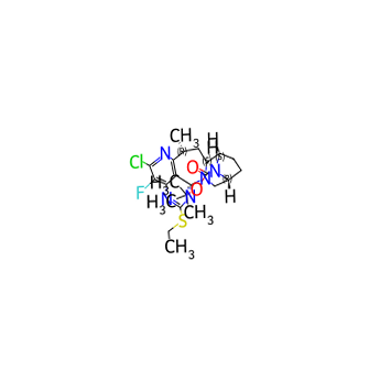 CCSc1nc2c3c(nc(Cl)c(F)c3n1)[C@H](C)C[C@H]1[C@@H]3CC[C@H](CN21)N3C(=O)OC(C)(C)C